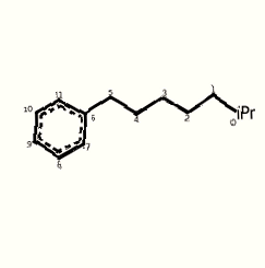 CC(C)CCCCCc1[c]cccc1